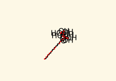 CCCCCCCCCCCCCCCCCCCCCC(=O)O[C@H]1[C@H](O)[C@@H](CO)O[C@@]1(CO)O[C@H]1O[C@H](CO)[C@@H](O)[C@H](O)[C@H]1O